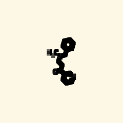 CN(CCC(=O)c1cccnc1)Cc1ccccc1